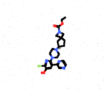 CCOC(=O)N1CC2(CC[C@@H](N3CCN(c4nc(F)c(O)cc4-c4cnccn4)CC3)C2)C1